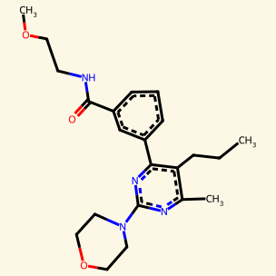 CCCc1c(C)nc(N2CCOCC2)nc1-c1cccc(C(=O)NCCOC)c1